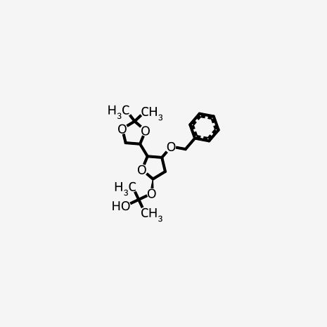 CC(C)(O)O[C@@H]1CC(OCc2ccccc2)C(C2COC(C)(C)O2)O1